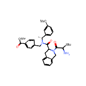 COC(=O)c1ccc(CN(C(=O)C2Cc3ccccc3CN2C(=O)C(N)C(C)(C)C)[C@H](C)c2cccc(OC)c2)cc1